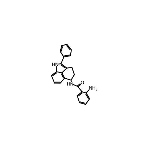 Nc1ccccc1C(=O)NC1CCc2c(-c3ccccc3)[nH]c3cccc1c23